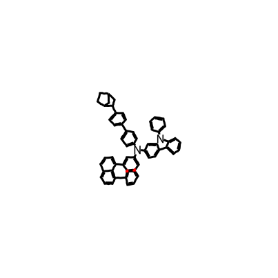 c1ccc(-c2cccc3cccc(-c4cccc(N(c5ccc(-c6ccc(C7CC8CCC7C8)cc6)cc5)c5ccc6c7ccccc7n(-c7ccccc7)c6c5)c4)c23)cc1